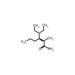 CCCC(=C(C)C(N)=O)N(CC)CC